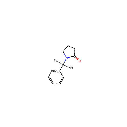 CCC(c1ccccc1)(C(C)C)N1CCCC1=O